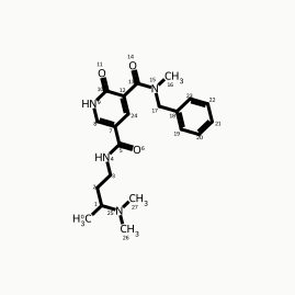 CC(CCNC(=O)c1c[nH]c(=O)c(C(=O)N(C)Cc2ccccc2)c1)N(C)C